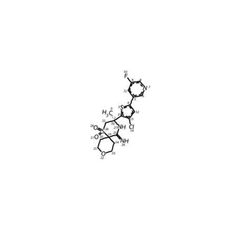 C[C@@]1(c2sc(-c3cncc(F)c3)cc2Cl)CS(=O)(=O)C2(CCOCC2)C(=N)N1